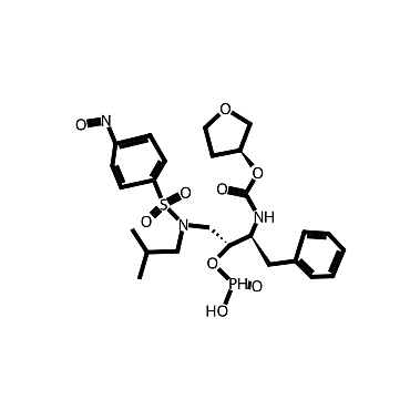 CC(C)CN(C[C@@H](O[PH](=O)O)[C@H](Cc1ccccc1)NC(=O)O[C@H]1CCOC1)S(=O)(=O)c1ccc(N=O)cc1